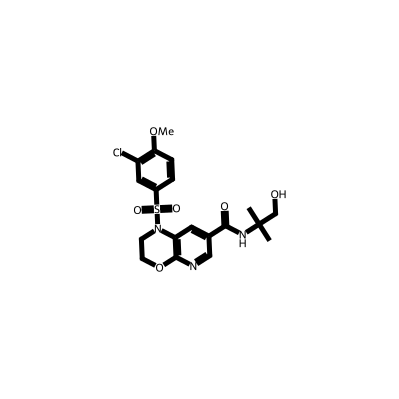 COc1ccc(S(=O)(=O)N2CCOc3ncc(C(=O)NC(C)(C)CO)cc32)cc1Cl